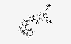 COc1cc(C(=O)NCC(O)c2ccc3c(n2)-c2c(sc4c(F)cccc24)CO3)ccc1OCCO